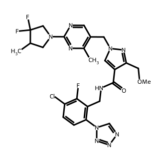 COCc1nn(Cc2cnc(N3CC(C)C(F)(F)C3)nc2C)cc1C(=O)NCc1c(-n2cnnn2)ccc(Cl)c1F